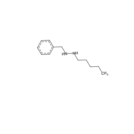 CCCCCNNCc1ccccc1